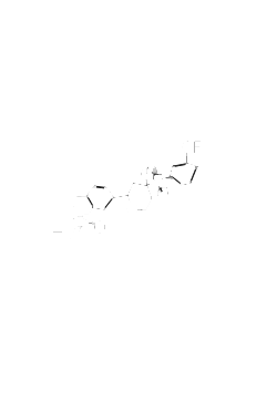 CC1(S(=O)(=O)c2cccc(C(F)(F)F)c2)CCOC(c2ccc(F)c(S(C)(=O)=O)c2)C1